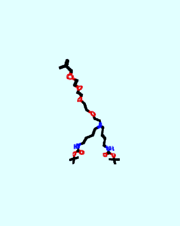 C=C(C)COCCOCCOCCOCCN(CCCCNC(=O)OC(C)(C)C)CCCCNC(=O)OC(C)(C)C